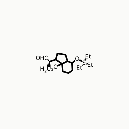 CC[Si](CC)(CC)OC1CCCC2(C)C1CCC2[C@@H](C)C=O